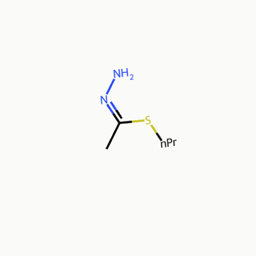 CCCS/C(C)=N\N